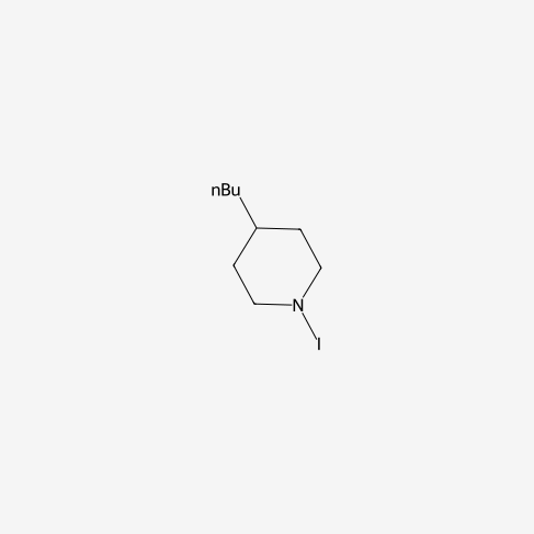 CCCCC1CCN(I)CC1